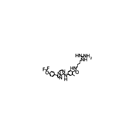 Cc1cc(Nc2nccn3c(-c4ccc(OC(F)F)cc4)cnc23)ccc1C(=O)NCCCCNC(=N)N